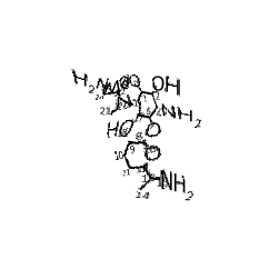 CO[C@H]1[C@@H](O)[C@H](N)[C@@H](O[C@H]2CCCC([C@H](C)N)O2)[C@H](O)[C@@H]1N(C)C(=O)CN